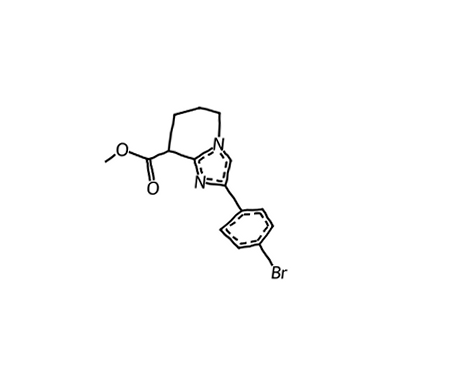 COC(=O)C1CCCn2cc(-c3ccc(Br)cc3)nc21